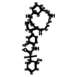 CC(C)(C(=O)Nc1ccc(-c2cnc3nc2NCCCNSc2cccc(c2)N3)cc1F)c1ccccc1F